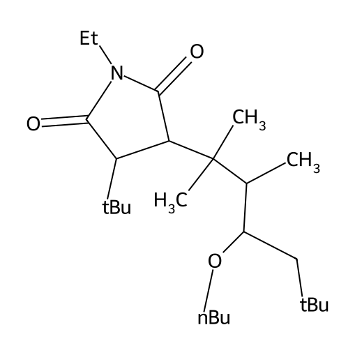 CCCCOC(CC(C)(C)C)C(C)C(C)(C)C1C(=O)N(CC)C(=O)C1C(C)(C)C